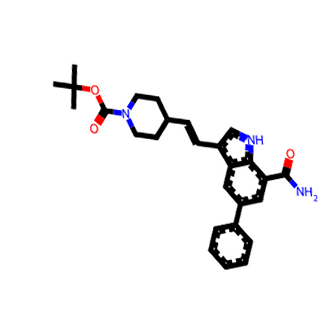 CC(C)(C)OC(=O)N1CCC(/C=C/c2c[nH]c3c(C(N)=O)cc(-c4ccccc4)cc23)CC1